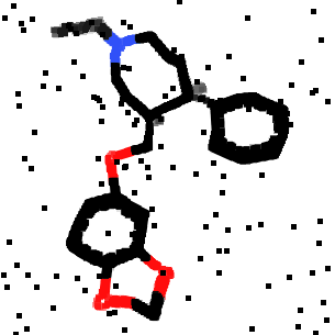 CCCCCN1CC[C@H](c2ccccc2)[C@@H](COc2ccc3c(c2)OCO3)C1